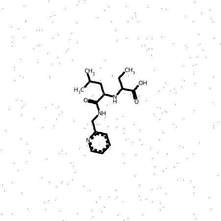 CCC(NC(CC(C)C)C(=O)NCc1ccccn1)C(=O)O